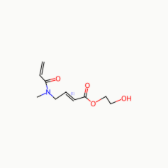 C=CC(=O)N(C)C/C=C/C(=O)OCCO